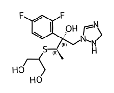 C[C@@H](SC(CO)CO)[C@](O)(CN1C=NCN1)c1ccc(F)cc1F